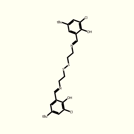 CC(C)(C)c1cc(Cl)c(O)c(C=NCCSSCCN=Cc2cc(C(C)(C)C)cc(Cl)c2O)c1